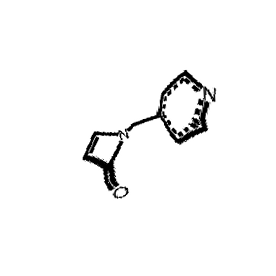 O=C1C=CN1c1ccncc1